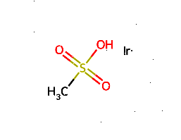 CS(=O)(=O)O.[Ir]